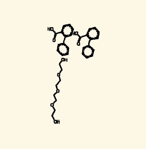 O=C(O)c1ccccc1-c1ccccc1.O=C(O)c1ccccc1-c1ccccc1.OCCOCCOCCOCCO